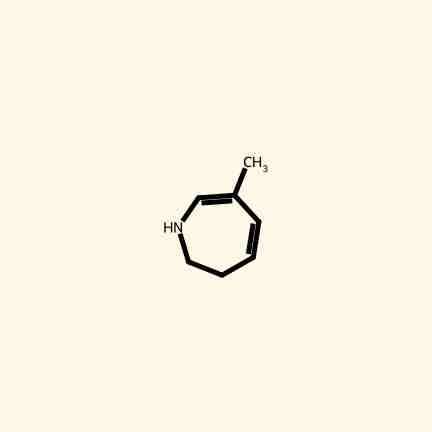 CC1=CNCCC=C1